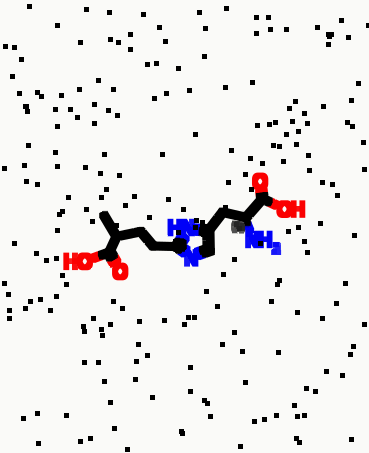 CC(CCc1ncc(C[C@H](N)C(=O)O)[nH]1)C(=O)O